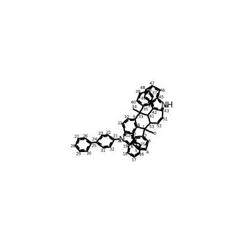 CC1(c2ccccc2)c2c(ccc3c2c2ccccc2n3-c2ccc(-c3ccccc3)cc2)C(C)(c2ccccc2)C2c3c([nH]c4ccccc34)C=CC21